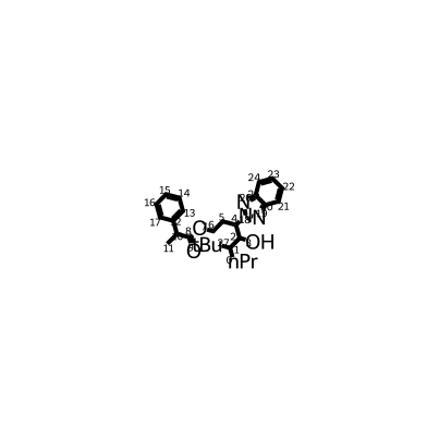 CCCC(C(O)C(CCOC(=O)C(C)c1ccccc1)n1nc2ccccc2n1)C(C)(C)C